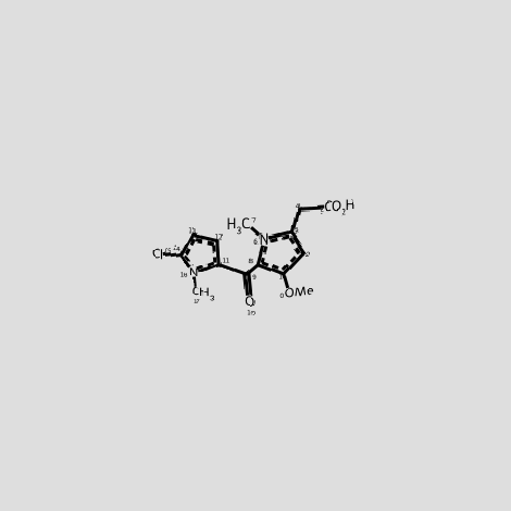 COc1cc(CC(=O)O)n(C)c1C(=O)c1ccc(Cl)n1C